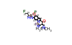 CN(C)/C=C(\C#N)C(=O)c1cc2cc(OF)c(NSCCCF)cc2n1SI